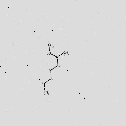 CCCCCN(C)OC